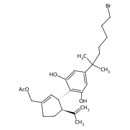 C=C(C)[C@H]1CCC(COC(C)=O)=C[C@@H]1c1c(O)cc(C(C)(C)CCCCCBr)cc1O